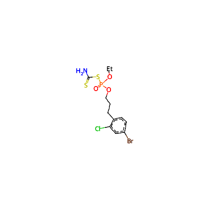 CCOP(=O)(OCCCc1ccc(Br)cc1Cl)SC(N)=S